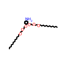 CCCCCCCCCCCCOCCOCCOc1ccc(N)cc1OCCOCCOCCCCCCCCCCCC